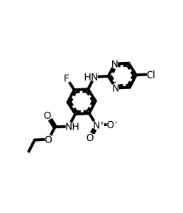 CCOC(=O)Nc1cc(F)c(Nc2ncc(Cl)cn2)cc1[N+](=O)[O-]